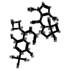 Cc1cnn(C)c1C(=O)N1[C@@H](C(=O)N[C@@H](c2cc(F)c(C(F)(F)F)cc2F)C2COC2)C[C@H]2C=C[C@H]21